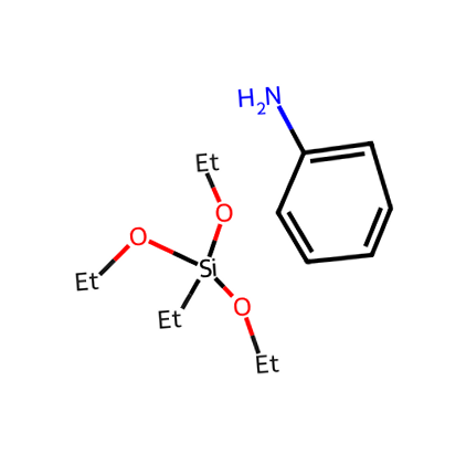 CCO[Si](CC)(OCC)OCC.Nc1ccccc1